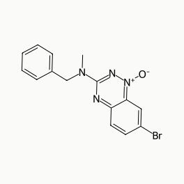 CN(Cc1ccccc1)c1nc2ccc(Br)cc2[n+]([O-])n1